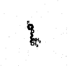 C=CC(N)CCCOc1ccc(F)cc1